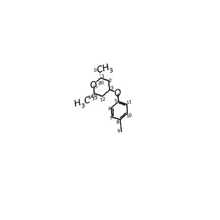 C[C@@H]1CC(Oc2ccc(I)cc2)C[C@H](C)O1